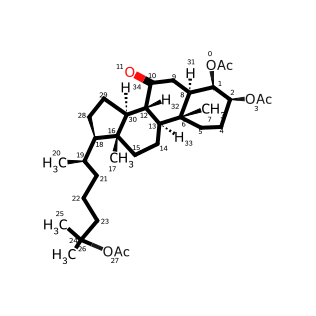 CC(=O)O[C@H]1[C@@H](OC(C)=O)CC[C@@]2(C)[C@H]1CC(=O)[C@@H]1[C@@H]2CC[C@]2(C)[C@@H]([C@H](C)CCCC(C)(C)OC(C)=O)CC[C@@H]12